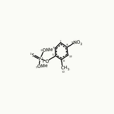 COP(=S)(OC)Oc1ccc([N+](=O)[O-])cc1C